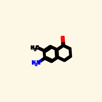 Cc1cc2c(cc1N)CCCC2=O